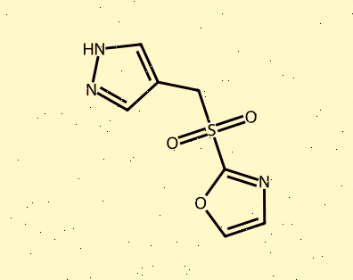 O=S(=O)(Cc1cn[nH]c1)c1ncco1